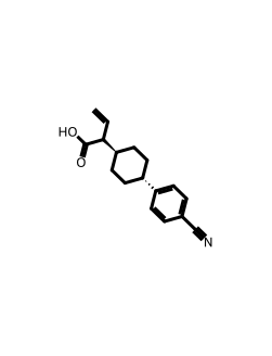 C=CC(C(=O)O)[C@H]1CC[C@H](c2ccc(C#N)cc2)CC1